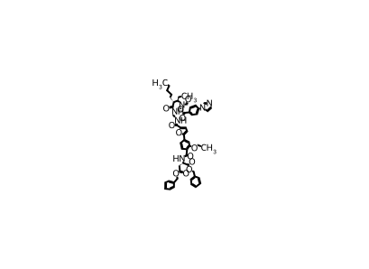 CCCCC[C@@H](C(=O)NCNC(=O)c1ccc(-c2ccc(C(=O)N[C@@H](CC(=O)OCc3ccccc3)C(=O)OCc3ccccc3)c(OCC)c2)o1)[C@@H](CC)N(C=O)OC(=O)c1ccc(-n2ccnc2)cc1